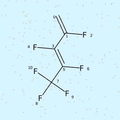 C=C(F)C(F)=C(F)C(F)(F)F